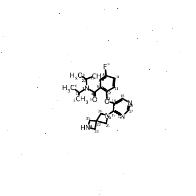 CC(C)N(C(=O)c1cc(F)ccc1Oc1cncnc1N1CC2(CNC2)C1)C(C)C